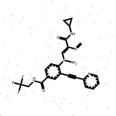 C=N/C(=C\N(N)c1ccc(C(=O)NCC(F)(F)F)cc1C#Cc1ccccn1)C(=O)NC1CC1